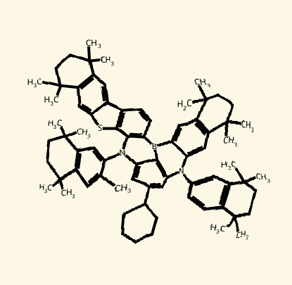 Cc1cc2c(cc1N1c3cc(C4CCCCC4)cc4c3B(c3cc5c(cc3N4c3ccc4c(c3)C(C)(C)CCC4(C)C)C(C)(C)CCC5(C)C)c3ccc4c(sc5cc6c(cc54)C(C)(C)CCC6(C)C)c31)C(C)(C)CCC2(C)C